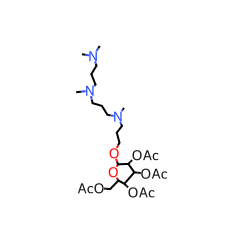 CC(=O)OCC1OC(OCCCN(C)CCCN(C)CCCN(C)C)C(OC(C)=O)C(OC(C)=O)C1OC(C)=O